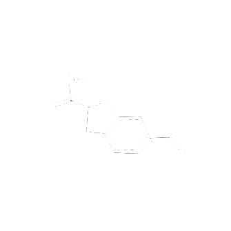 COC(=O)C1Cc2ccc(CC(C)C)cc2O1